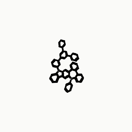 c1ccc(-c2cc(-c3ccccc3)cc(-c3cccc(-n4c5ccccc5c5cc6c(cc54)-c4ccccc4-c4ccccc4N6c4ccccc4)c3)c2)cc1